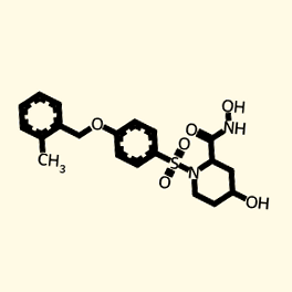 Cc1ccccc1COc1ccc(S(=O)(=O)N2CCC(O)CC2C(=O)NO)cc1